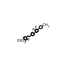 CCOc1ccc(/C=C/c2ccc(-c3ccc(C4CCC(C)CC4)c(F)c3F)cc2)c(F)c1F